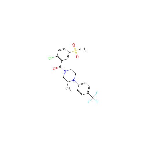 CC1CN(C(=O)c2cc(S(C)(=O)=O)ccc2Cl)CCN1c1ccc(C(F)(F)F)cc1